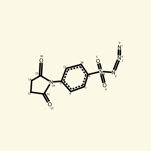 [N-]=[N+]=NS(=O)(=O)c1ccc(N2C(=O)CCC2=O)cc1